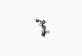 Cc1cc(NC(=O)CN2CCN(C(=O)c3ccccc3SCc3ccsc3)CC2)no1